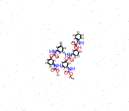 CCOC(=O)Nc1cccc(OC(=O)Nc2ccccc2)c1.COC(=O)Nc1cccc(OC(=O)Nc2cccc(C)c2)c1.O=C(O)Nc1ccccc1